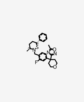 Cc1nc(C2(c3ccc(CN4S[C@@H](c5ccccc5)CC[C@@H]4C)c(F)c3)CCOCC2)no1